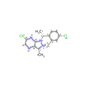 Cc1nn([C@H](C)c2ccc(Cl)cc2C(F)(F)F)c2nc(Cl)cnc12